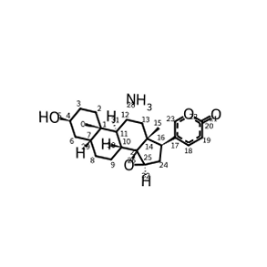 C[C@]12CC[C@H](O)C[C@H]1CC[C@@H]1[C@@H]2CC[C@]2(C)[C@@H](c3ccc(=O)oc3)C[C@H]3O[C@]132.N